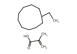 C=C(C)C(=O)O.CCC1CCCCCCCCC1